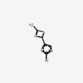 CCc1ncc(C2OC(C)O2)s1